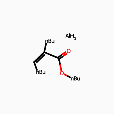 CCCCC=C(CCCC)C(=O)OCCCC.[AlH3]